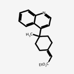 CCOC(=O)C=C1CCC(C)(c2ccnc3ccccc23)CC1